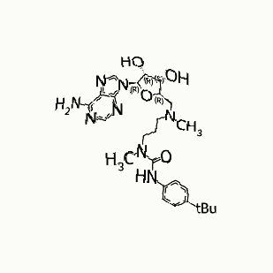 CN(CCCN(C)C(=O)Nc1ccc(C(C)(C)C)cc1)C[C@H]1O[C@@H](n2cnc3c(N)ncnc32)[C@H](O)[C@@H]1O